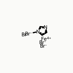 Cn1ccnc1.[Br-].[Br-].[Br-].[Br-].[Fe+4]